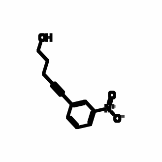 O=[N+]([O-])c1cccc(C#CCCCO)c1